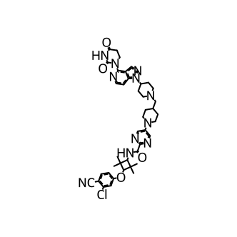 CC1(C)C(NC(=O)c2ncc(N3CCC(CN4CCC(n5ncc6c(N7CCC(=O)NC7=O)nccc65)CC4)CC3)cn2)C(C)(C)C1Oc1ccc(C#N)c(Cl)c1